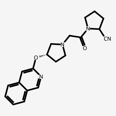 N#CC1CCCN1C(=O)CN1CC[C@H](Oc2cc3ccccc3cn2)C1